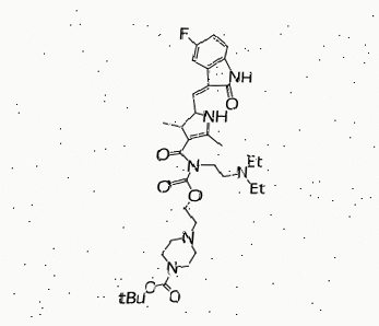 CCN(CC)CCN(C(=O)OCCN1CCN(C(=O)OC(C)(C)C)CC1)C(=O)C1=C(C)NC(/C=C2\C(=O)Nc3ccc(F)cc32)C1C